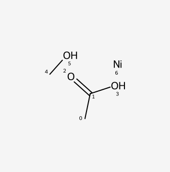 CC(=O)O.CO.[Ni]